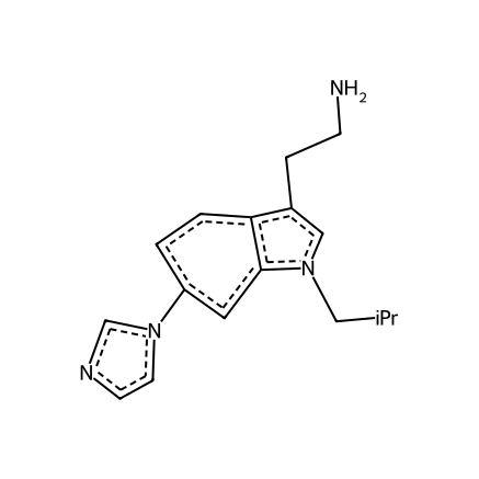 CC(C)Cn1cc(CCN)c2ccc(-n3ccnc3)cc21